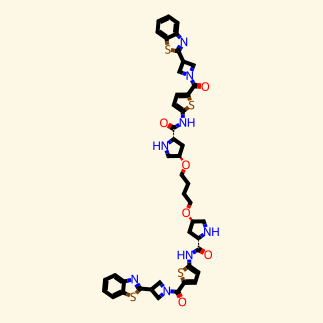 O=C(Nc1ccc(C(=O)N2CC(c3nc4ccccc4s3)C2)s1)[C@@H]1C[C@@H](OCCCCO[C@H]2CN[C@H](C(=O)Nc3ccc(C(=O)N4CC(c5nc6ccccc6s5)C4)s3)C2)CN1